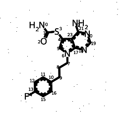 NC(=O)Sc1cn(CCCc2ccc(F)cc2)c2ncnc(N)c12